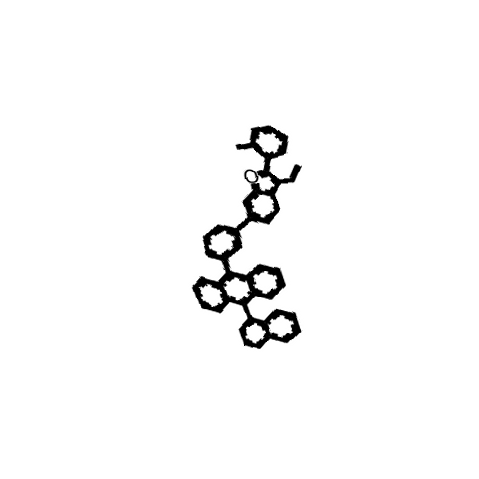 C=Cc1c(-c2ccccc2C)oc2cc(-c3cccc(-c4c5ccccc5c(-c5cccc6ccccc56)c5ccccc45)c3)ccc12